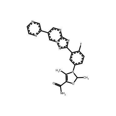 CC1=C(C(N)=O)OC(C)N1c1ccc(F)c(-c2nc3ncc(-c4cnccn4)cn3n2)c1